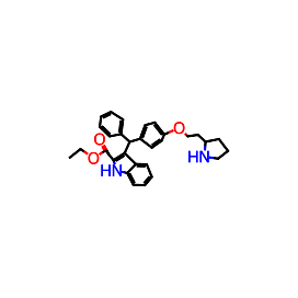 CCOC(=O)c1[nH]c2ccccc2c1C(c1ccccc1)c1ccc(OCCC2CCCN2)cc1